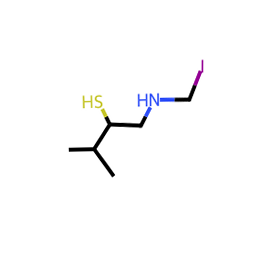 CC(C)C(S)CNCI